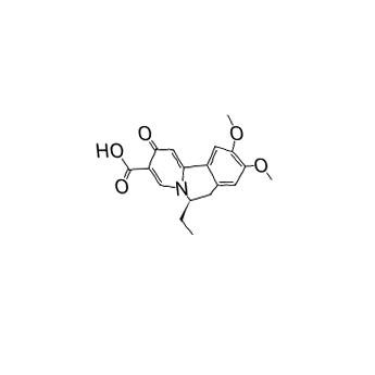 CC[C@@H]1Cc2cc(OC)c(OC)cc2-c2cc(=O)c(C(=O)O)cn21